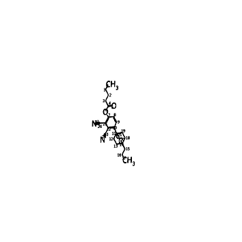 CCCCC(=O)Oc1ccc(C23CCC(CCC)(CC2)CC3)c(C#N)c1C#N